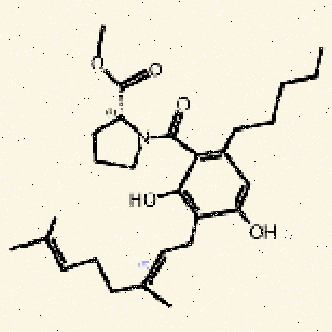 CCCCCc1cc(O)c(C/C=C(\C)CCC=C(C)C)c(O)c1C(=O)N1CCC[C@@H]1C(=O)OC